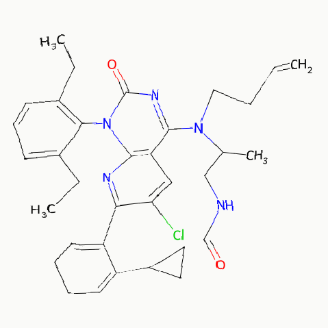 C=CCCN(c1nc(=O)n(-c2c(CC)cccc2CC)c2nc(C3=CCCC=C3C3CC3)c(Cl)cc12)C(C)CNC=O